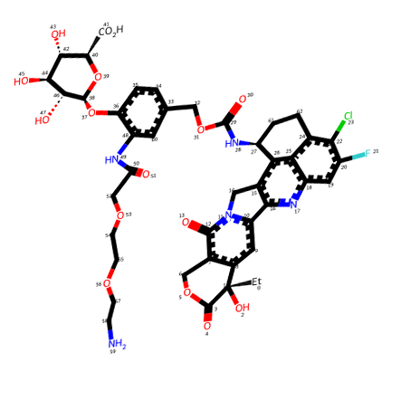 CC[C@@]1(O)C(=O)OCc2c1cc1n(c2=O)Cc2c-1nc1cc(F)c(Cl)c3c1c2[C@@H](NC(=O)OCc1ccc(O[C@@H]2O[C@H](C(=O)O)[C@@H](O)[C@H](O)[C@H]2O)c(NC(=O)COCCOCCN)c1)CC3